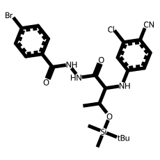 CC(O[Si](C)(C)C(C)(C)C)C(Nc1ccc(C#N)c(Cl)c1)C(=O)NNC(=O)c1ccc(Br)cc1